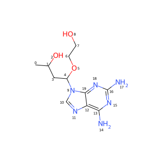 CC(O)CC(OCCO)n1cnc2c(N)nc(N)nc21